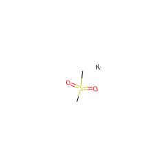 CS(C)(=O)=O.[K]